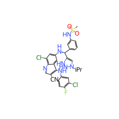 CC(C)N1C=C([C@@H](Nc2cc(Cl)c3ncc(C#N)c(Nc4ccc(F)c(Cl)c4)c3c2)c2cccc(NS(C)(=O)=O)c2)NN1